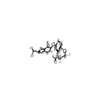 CC(=O)N[C@@H](C)[C@@H](C)Oc1cnc(Oc2ccc3nc(C(C)C)sc3c2F)cn1